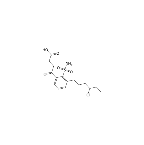 CCC(Cl)CCCc1cccc(C(=O)CCC(=O)O)c1S(N)(=O)=O